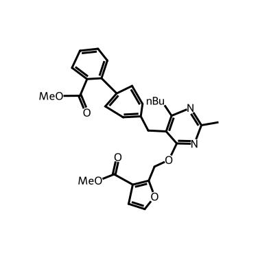 CCCCc1nc(C)nc(OCc2occc2C(=O)OC)c1Cc1ccc(-c2ccccc2C(=O)OC)cc1